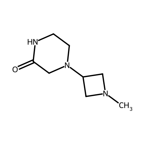 CN1CC(N2CCNC(=O)C2)C1